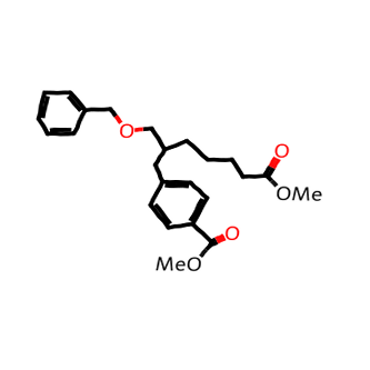 COC(=O)CCCCC(COCc1ccccc1)Cc1ccc(C(=O)OC)cc1